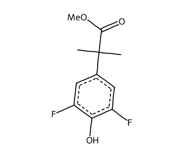 COC(=O)C(C)(C)c1cc(F)c(O)c(F)c1